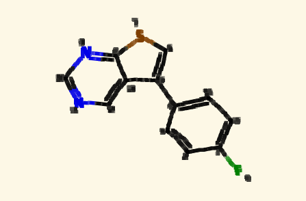 Fc1ccc(-c2csc3ncncc23)cc1